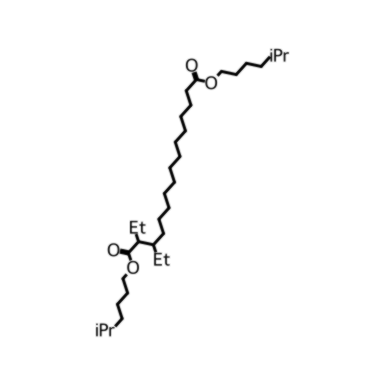 CCC(CCCCCCCCCCCCC(=O)OCCCCC(C)C)C(CC)C(=O)OCCCCC(C)C